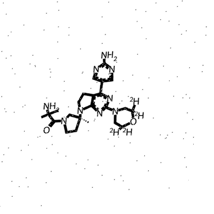 [2H]C1([2H])CN(c2nc(-c3cnc(N)nc3)c3c(n2)N([C@@]2(C)CCN(C(=O)C(C)(C)N)C2)CC3)CC([2H])([2H])O1